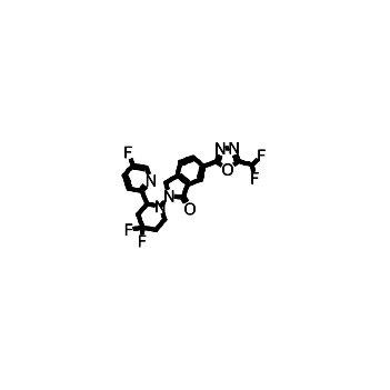 O=C1c2cc(-c3nnc(C(F)F)o3)ccc2CN1N1CCC(F)(F)CC1c1ccc(F)cn1